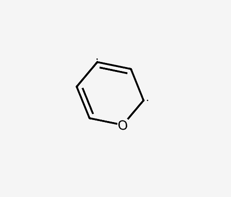 [C]1=C[CH]OC=C1